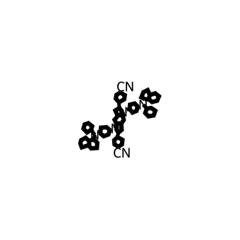 N#Cc1ccc(-c2cc3cc4c(cc(-c5ccc(C#N)cc5)n4-c4ccc(N(c5ccccc5)c5cccc6ccccc56)cc4)cc3n2-c2ccc(N(c3ccccc3)c3cccc4ccccc34)cc2)cc1